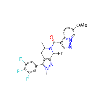 CCC1c2nn(C)c(-c3cc(F)c(F)c(F)c3)c2CC(C)N1C(=O)c1cnn2cc(OC)ccc12